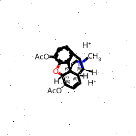 CC(=O)Oc1ccc2c3c1O[C@H]1[C@@H](OC(C)=O)C=C[C@H]4[C@@H](C2)N(C)CC[C@@]341.[H+].[H+]